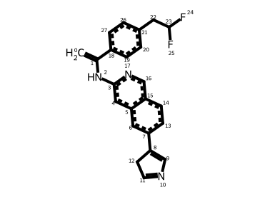 C=C(Nc1cc2cc(C3=CN=CC3)ccc2cn1)c1ccc(CC(F)F)cc1